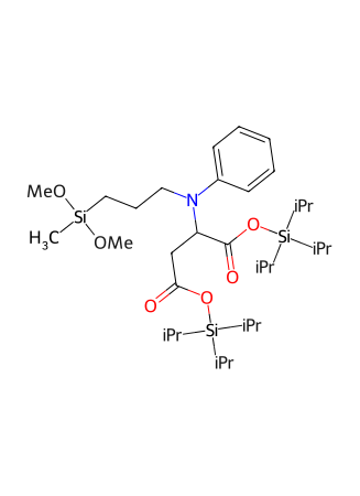 CO[Si](C)(CCCN(c1ccccc1)C(CC(=O)O[Si](C(C)C)(C(C)C)C(C)C)C(=O)O[Si](C(C)C)(C(C)C)C(C)C)OC